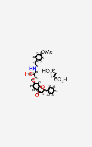 COc1ccc(CCNCC(O)COc2ccc3c(=O)cc(-c4ccccc4)oc3c2)cc1.O=C(O)C=CC(=O)O